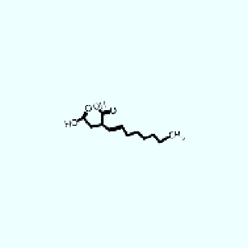 CCCCCCC=CC(CC(=O)O)C(=O)O